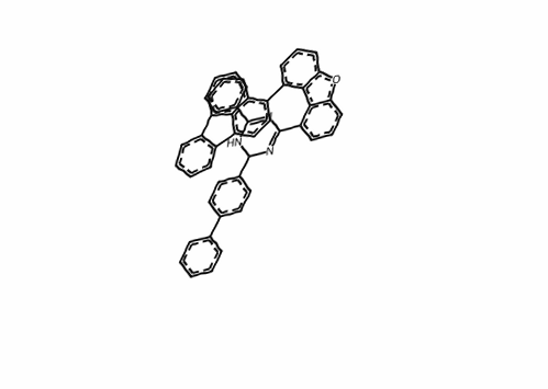 c1ccc(C2=NC(c3cccc4oc5cccc(-c6ccc7c8c(cccc68)-c6ccccc6-7)c5c34)=NC(c3ccc(-c4ccccc4)cc3)N2)cc1